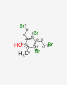 Cc1c(O)c(CCBr)c(Br)c(CCBr)c1Br